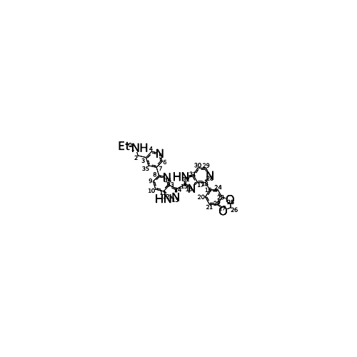 CCNCc1cncc(-c2ccc3[nH]nc(-c4nc5c(-c6ccc7c(c6)OCO7)nccc5[nH]4)c3n2)c1